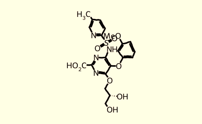 COc1cccc(Oc2c(NS(=O)(=O)c3ccc(C)cn3)nc(C(=O)O)nc2OC[C@H](O)CO)c1